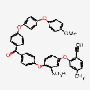 C#Cc1ccc(C)cc1Oc1ccc(Oc2ccc(C(=O)c3ccc(Oc4ccc(Oc5ccc(OC)cc5)cc4)cc3)cc2)c(S(=O)(=O)O)c1